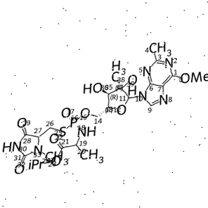 COc1nc(C)nc2c1ncn2C1O[C@H](COP(=O)(NC(C)C(=O)OC(C)C)SCC2C(=O)NC(=O)N2C)[C@@H](O)[C@@]1(C)O